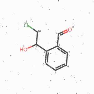 O=Cc1ccccc1C(O)CCl